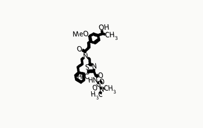 COc1cc(C(C)O)ccc1/C=C/C(=O)N(CCCc1ccccc1)Cc1nc(C(=O)NS(=O)(=O)N(C)C)c(C)s1